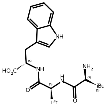 CC[C@H](C)[C@H](N)C(=O)N[C@H](C(=O)N[C@@H](Cc1c[nH]c2ccccc12)C(=O)O)C(C)C